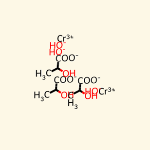 CC(O)C(=O)[O-].CC(O)C(=O)[O-].CC(O)C(=O)[O-].[Cr+3].[Cr+3].[OH-].[OH-].[OH-]